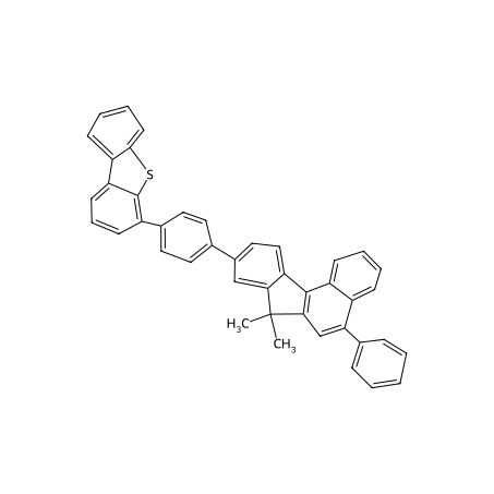 CC1(C)c2cc(-c3ccc(-c4cccc5c4sc4ccccc45)cc3)ccc2-c2c1cc(-c1ccccc1)c1ccccc21